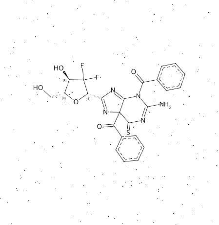 NC1=NC(=S)C2(C(=O)c3ccccc3)N=C([C@@H]3O[C@H](CO)[C@@H](O)C3(F)F)N=C2N1C(=O)c1ccccc1